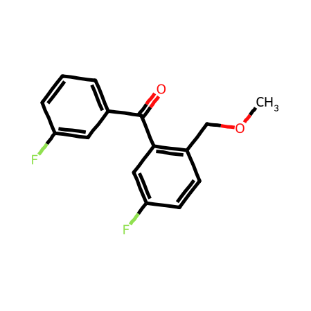 COCc1ccc(F)cc1C(=O)c1cccc(F)c1